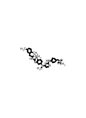 Cc1ccc(C)c(CC(=O)Nc2nc3cc(N(C)c4ccnc(Nc5ccc(CS(C)(=O)=O)cc5)n4)ccc3n2C)c1